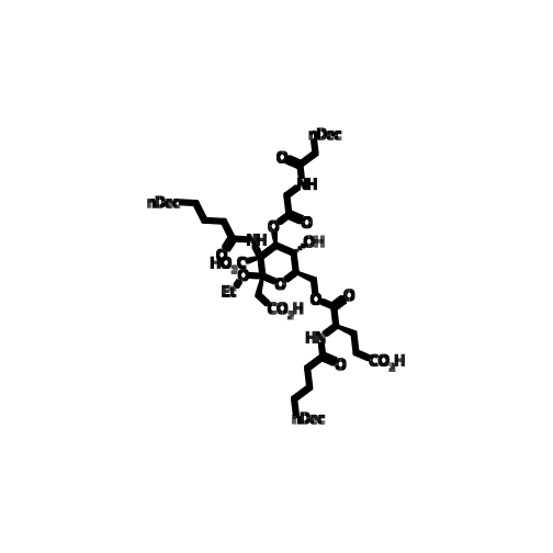 CCCCCCCCCCCCCC(=O)N[C@H](CCC(=O)O)C(=O)OC[C@H]1O[C@](CC(=O)O)(OCC)[C@@](NC(=O)CCCCCCCCCCCCC)(C(=O)O)[C@@H](OC(=O)CNC(=O)CCCCCCCCCCC)[C@@H]1O